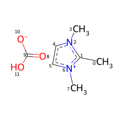 Cc1n(C)cc[n+]1C.O=C([O-])O